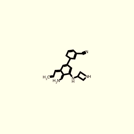 C=C/C=c1/cc(C2C=C(C#N)C=CC2)cc(NC2CNC2)/c1=C/N